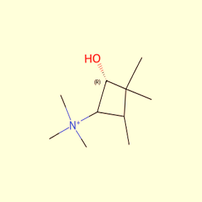 CC1C([N+](C)(C)C)[C@H](O)C1(C)C